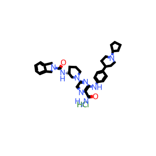 Cl.NC(=O)c1ncc(N2CCC[C@@H](NC(=O)N3Cc4ccccc4C3)C2)nc1Nc1ccc(C2CCN(C3CCCC3)CC2)cc1